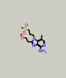 COCCc1nc2c(N)ncc(C)c2n1CCCS(C)(=O)=O